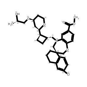 COC(=O)c1ccc2c(c1)N(C[C@@H]1CC[C@H]1[C@H]1C[C@@H](OC[C@H](C)O)CCO1)C[C@@]1(CCCc3cc(Cl)ccc31)CO2